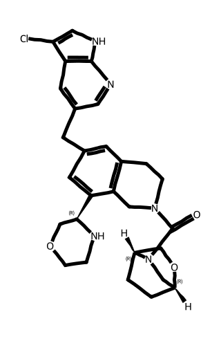 O=C(N1CCc2cc(Cc3cnc4[nH]cc(Cl)c4c3)cc([C@@H]3COCCN3)c2C1)N1C[C@H]2CC[C@@H]1CO2